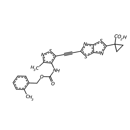 Cc1ccccc1COC(=O)Nc1c(C)nsc1C#Cc1nc2sc(C3(C(=O)O)CC3)nc2s1